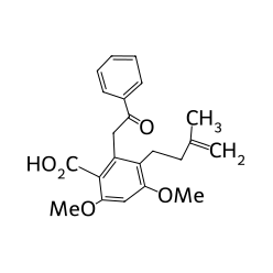 C=C(C)CCc1c(OC)cc(OC)c(C(=O)O)c1CC(=O)c1ccccc1